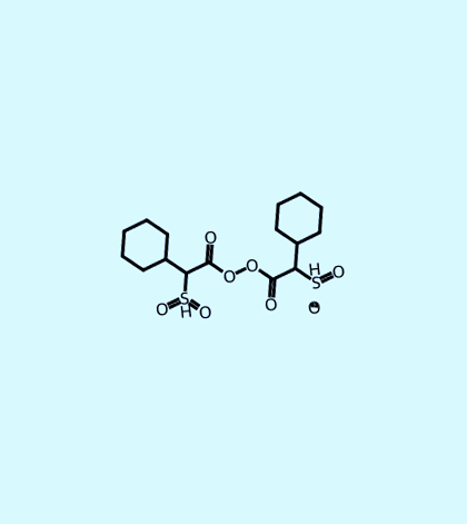 O=C(OOC(=O)C(C1CCCCC1)[SH](=O)=O)C(C1CCCCC1)[SH](=O)=O